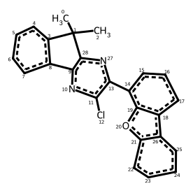 CC1(C)c2ccccc2-c2nc(Cl)c(-c3cccc4c3oc3ccccc34)nc21